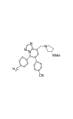 CN[C@H]1CCN(Cc2cc(-c3ccc(C#N)cc3)c(-c3ccc(C)cc3)n3ncnc23)C1